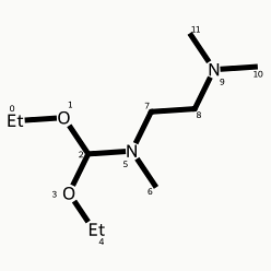 CCOC(OCC)N(C)CCN(C)C